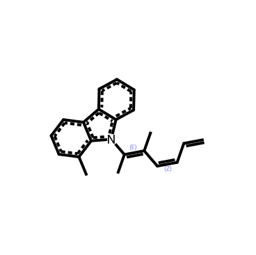 C=C/C=C\C(C)=C(/C)n1c2ccccc2c2cccc(C)c21